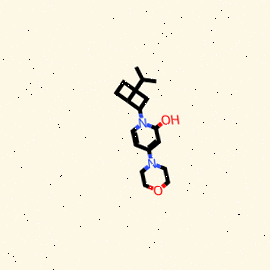 CC(C)C12CCC1C(N1C=CC(N3CCOCC3)=CC1O)C2